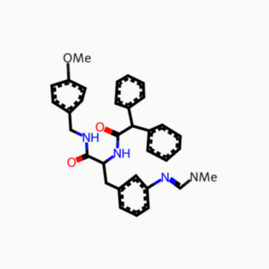 CN/C=N/c1cccc(CC(NC(=O)C(c2ccccc2)c2ccccc2)C(=O)NCc2ccc(OC)cc2)c1